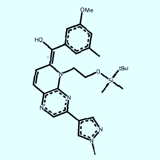 COc1cc(C)cc(/C(O)=C2/C=Cc3ncc(-c4cnn(C)c4)nc3N2CCO[Si](C)(C)C(C)(C)C)c1